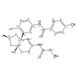 C[C@@H]1C[C@H]2CSC(NC(=O)OC(C)(C)C)=N[C@@]2(c2cc(NC(=O)c3ccc(C#N)cn3)ccc2F)C1